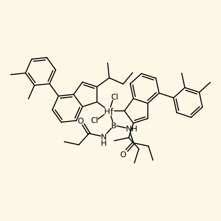 CCC(=O)N[B](NC(=O)CC)[Hf]([Cl])([Cl])([CH]1C(C(C)CC)=Cc2c(-c3cccc(C)c3C)cccc21)[CH]1C(C(C)CC)=Cc2c(-c3cccc(C)c3C)cccc21